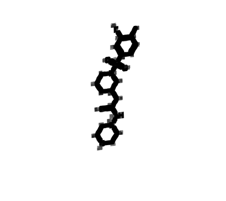 Cc1ccc(S(=O)(=O)N2CCCC(CC(=O)NN3CCOCC3)C2)cc1F